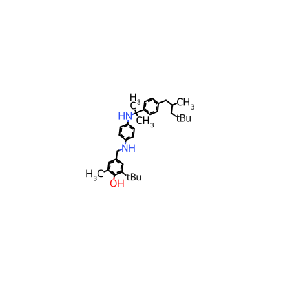 Cc1cc(CNc2ccc(NC(C)(C)c3ccc(CC(C)CC(C)(C)C)cc3)cc2)cc(C(C)(C)C)c1O